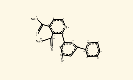 COC(=O)c1ccnc(-c2cc(Br)cc(-c3ccccn3)n2)c1C(=O)OC